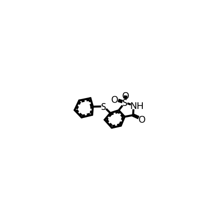 O=C1NS(=O)(=O)c2c(Sc3ccccc3)cccc21